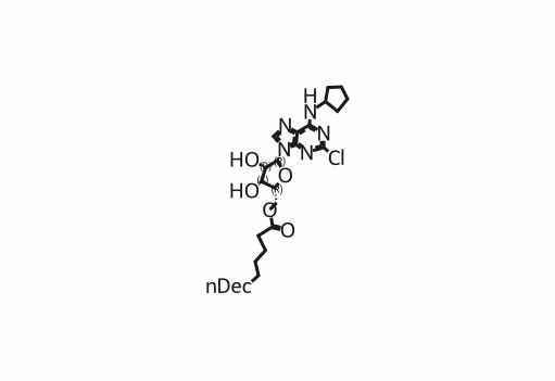 CCCCCCCCCCCCCCC(=O)OC[C@H]1O[C@@H](n2cnc3c(NC4CCCC4)nc(Cl)nc32)[C@H](O)[C@@H]1O